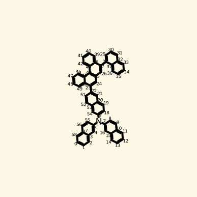 c1ccc2cc(N(c3ccc4ccccc4c3)c3ccc4cc(-c5cc6cc(-c7cccc8ccccc78)c7ccccc7c6c6ccccc56)ccc4c3)ccc2c1